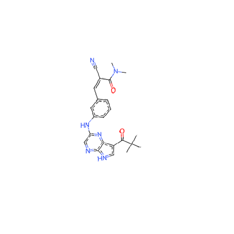 CN(C)C(=O)C(C#N)=Cc1cccc(Nc2cnc3[nH]cc(C(=O)C(C)(C)C)c3n2)c1